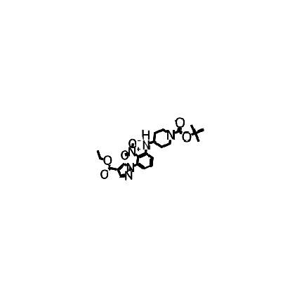 CCOC(=O)c1cnn(-c2cccc(NC3CCN(C(=O)OC(C)(C)C)CC3)c2[N+](=O)[O-])c1